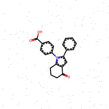 O=C(O)c1ccc(-n2c(-c3ccccc3)cc3c2CCCC3=O)cc1